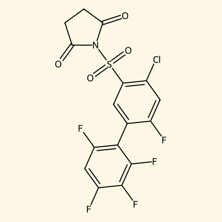 O=C1CCC(=O)N1S(=O)(=O)c1cc(-c2c(F)cc(F)c(F)c2F)c(F)cc1Cl